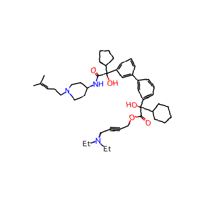 CCN(CC)CC#CCOC(=O)C(O)(c1cccc(-c2cccc(C(O)(C(=O)NC3CCN(CCC=C(C)C)CC3)C3CCCC3)c2)c1)C1CCCCC1